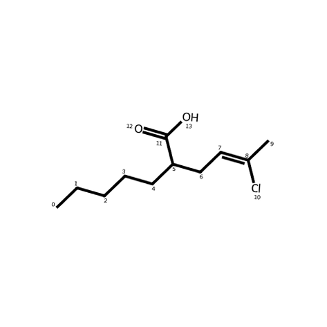 CCCCCC(CC=C(C)Cl)C(=O)O